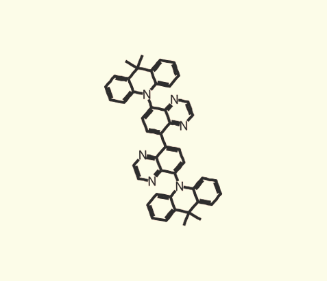 CC1(C)c2ccccc2N(c2ccc(-c3ccc(N4c5ccccc5C(C)(C)c5ccccc54)c4nccnc34)c3nccnc23)c2ccccc21